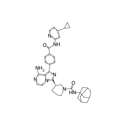 Nc1nccn2c([C@@H]3CCCN(C(=O)NC45CC6CC(CC(C6)C4)C5)C3)nc(-c3ccc(C(=O)Nc4cc(C5CC5)ccn4)cc3)c12